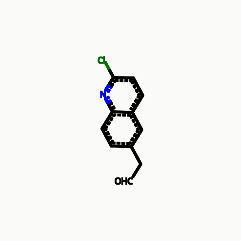 O=CCc1ccc2nc(Cl)ccc2c1